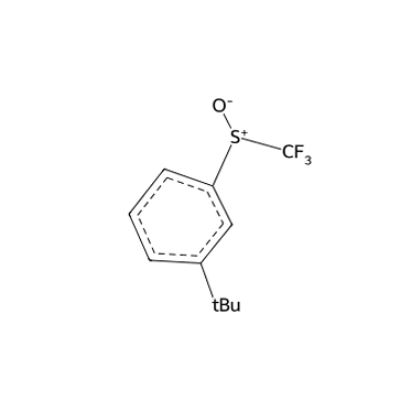 CC(C)(C)c1cccc([S+]([O-])C(F)(F)F)c1